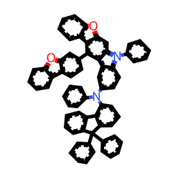 c1ccc(N(c2ccc3c(c2)c2c(-c4ccc5c(c4)oc4ccccc45)c4c(cc2n3-c2ccccc2)oc2ccccc24)c2cccc3c2-c2ccccc2C3(c2ccccc2)c2ccccc2)cc1